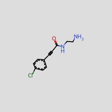 NCCNC(=O)C#Cc1ccc(Cl)cc1